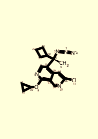 C[C@@](N=[N+]=[N-])(c1cnc(OC2CC2)c2cnc(Cl)cc12)C1CCC1